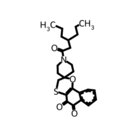 CCCC(CCC)CC(=O)N1CCC2(CC1)CSC1=C(O2)c2ccccc2C(=O)C1=O